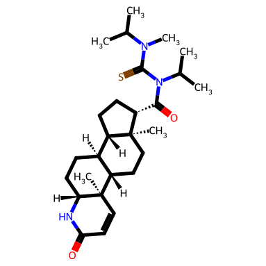 CC(C)N(C)C(=S)N(C(=O)[C@H]1CC[C@H]2[C@@H]3CC[C@H]4NC(=O)C=C[C@]4(C)[C@H]3CC[C@]12C)C(C)C